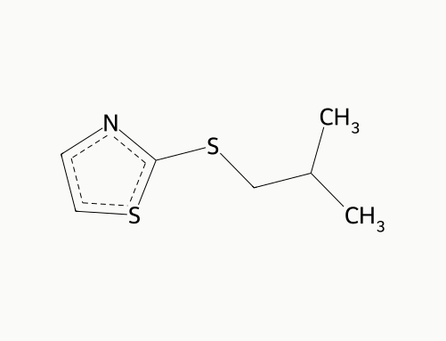 CC(C)CSc1nccs1